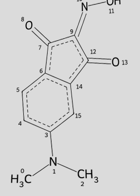 CN(C)c1ccc2c(=O)c(=NO)c(=O)c2c1